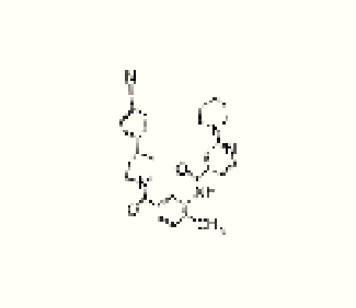 Cc1ccc(C(=O)N2CCC(c3ccc(C#N)cc3)CC2)cc1NC(=O)c1ccnc(N2CCCCC2)c1